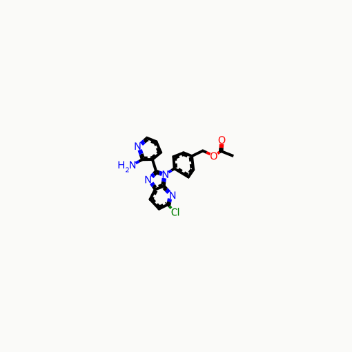 CC(=O)OCc1ccc(-n2c(-c3cccnc3N)nc3ccc(Cl)nc32)cc1